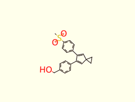 CS(=O)(=O)c1ccc(C2=CC3(C=C2c2ccc(CO)cc2)CC3)cc1